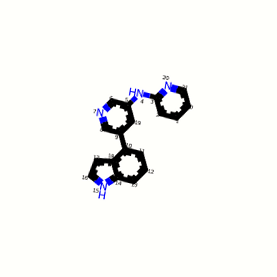 c1ccc(Nc2cncc(-c3cccc4[nH]ccc34)c2)nc1